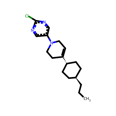 CCC[C@H]1CC[C@H](C2=CCN(c3cnc(Cl)nc3)CC2)CC1